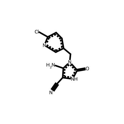 N#Cc1[nH]c(=O)n(Cc2ccc(Cl)nc2)c1N